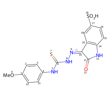 COc1ccc(NC(=S)N/N=C2\C(=O)Nc3ccc(S(=O)(=O)O)cc32)cc1